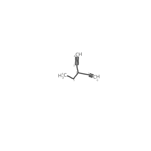 C#CC(C#C)CC